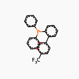 FC(F)(F)c1ccc(-c2ccccc2P(c2ccccc2)c2ccccc2)cc1